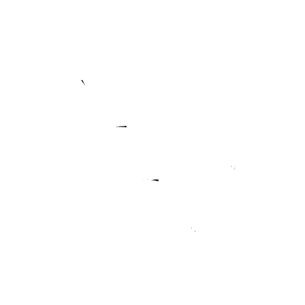 C[C@]12CC[C@H](O)CC1=CCC1C2CC[C@]2(C)C(c3cncc(C#N)c3)=CCC12